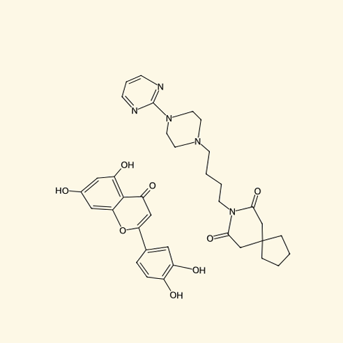 O=C1CC2(CCCC2)CC(=O)N1CCCCN1CCN(c2ncccn2)CC1.O=c1cc(-c2ccc(O)c(O)c2)oc2cc(O)cc(O)c12